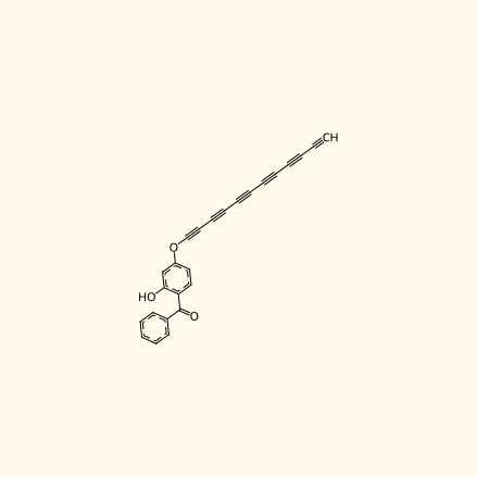 C#CC#CC#CC#CC#CC#COc1ccc(C(=O)c2ccccc2)c(O)c1